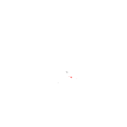 CC(C)CC[C@@H](O)C(F)(F)F